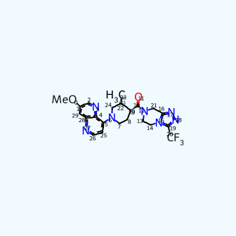 COc1cnc2c(N3CC[C@H](C(=O)N4CCn5c(nnc5C(F)(F)F)C4)[C@H](C)C3)ccnc2c1